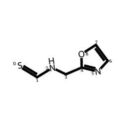 S=CNCc1ncco1